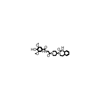 COc1cc(C(=O)NCC(=O)N2CCC(N3CCC4C=CC=CC4NC3=O)CC2)cc(OC)c1O